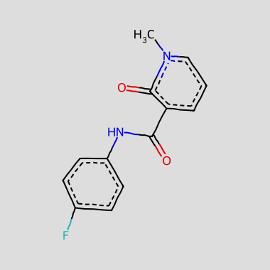 Cn1cccc(C(=O)Nc2ccc(F)cc2)c1=O